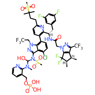 C[C@@H]1c2c(C(F)(F)F)nn(CC(=O)N[C@@H](Cc3cc(F)cc(F)c3)c3nc(CCC(C)(C)S(C)(=O)=O)ccc3-c3ccc(Cl)c4c(N(C(O)N(C)c5ncccc5COP(=O)(O)O)S(C)(=O)=O)nn(CC(F)(F)F)c34)c2C(F)(F)[C@@H]1C